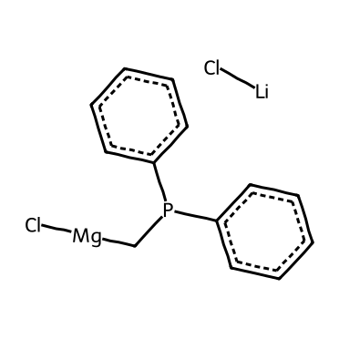 [Cl][Mg][CH2]P(c1ccccc1)c1ccccc1.[Li][Cl]